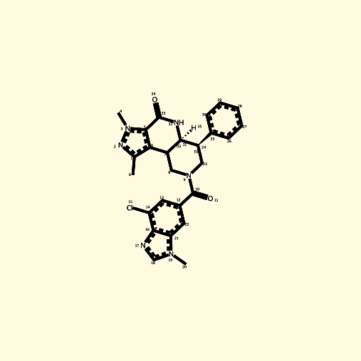 Cc1nn(C)c2c1C1CN(C(=O)c3cc(Cl)c4ncn(C)c4c3)C[C@H](c3ccccc3)[C@@H]1NC2=O